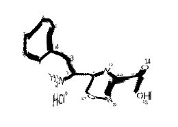 Cl.NC(Cc1ccccc1)c1nc(C(=O)O)no1